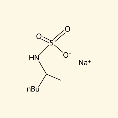 CCCCC(C)NS(=O)(=O)[O-].[Na+]